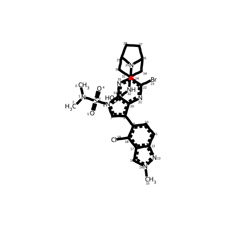 CN(C)S(=O)(=O)n1cc(-c2ccc3nn(C)cc3c2Cl)c2nc(Br)c(N3C4CCC3CC(NC(=O)O)C4)nc21